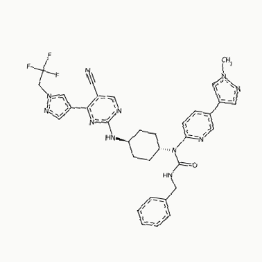 Cn1cc(-c2ccc(N(C(=O)NCc3ccccc3)[C@H]3CC[C@H](Nc4ncc(C#N)c(-c5cnn(CC(F)(F)F)c5)n4)CC3)nc2)cn1